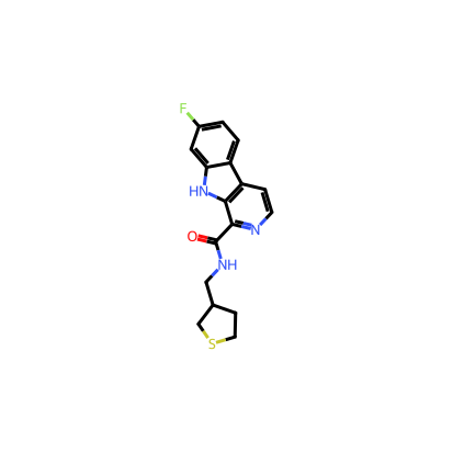 O=C(NCC1CCSC1)c1nccc2c1[nH]c1cc(F)ccc12